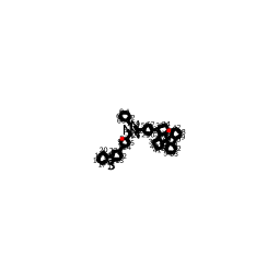 c1ccc(-c2nc(-c3ccc(-c4ccc5sc6ccccc6c5c4)cc3)nc(-c3ccc(-c4cccc5c4-c4ccccc4C54c5ccccc5-c5ccccc54)cc3)n2)cc1